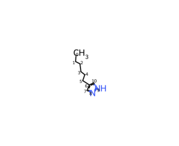 CCCCCCc1cn[nH]c1